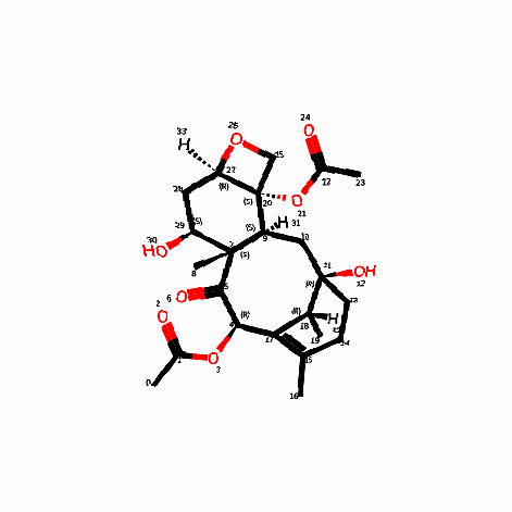 CC(=O)O[C@H]1C(=O)[C@@]2(C)[C@H](C[C@]3(O)CCC(C)=C1[C@H]3C)[C@]1(OC(C)=O)CO[C@@H]1C[C@@H]2O